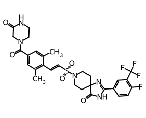 Cc1cc(C(=O)N2CCNC(=O)C2)cc(C)c1/C=C/S(=O)(=O)N1CCC2(CC1)N=C(c1ccc(F)c(C(F)(F)F)c1)NC2=O